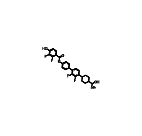 CCCC(O)C1CCC(c2ccc(-c3ccc(OC(=O)c4ccc(O)c(F)c4F)cc3)c(F)c2F)CC1